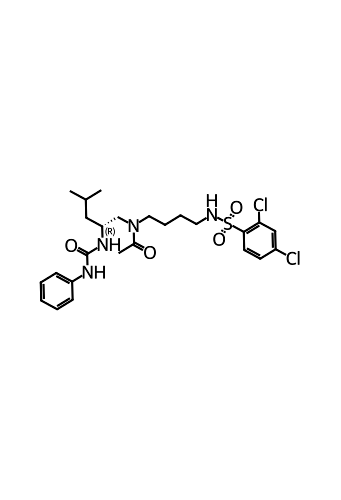 CC(=O)N(CCCCNS(=O)(=O)c1ccc(Cl)cc1Cl)C[C@@H](CC(C)C)NC(=O)Nc1ccccc1